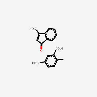 Cc1ccc(C(=O)O)cc1C(=O)O.O=C(O)C1=CC(=O)c2ccccc21